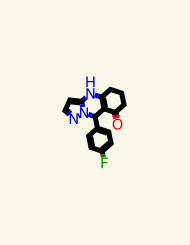 O=C1CCCC2=C1C(c1ccc(F)cc1)n1nccc1N2